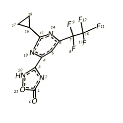 O=c1nc(-c2cc(C(F)(F)C(F)(F)F)nc(C3CC3)n2)[nH]o1